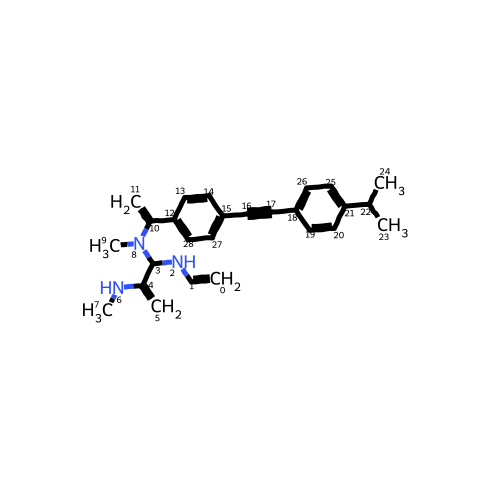 C=CNC(C(=C)NC)N(C)C(=C)c1ccc(C#Cc2ccc(C(C)C)cc2)cc1